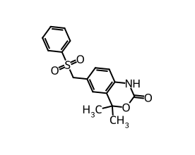 CC1(C)OC(=O)Nc2ccc(CS(=O)(=O)c3ccccc3)cc21